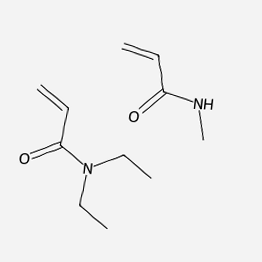 C=CC(=O)N(CC)CC.C=CC(=O)NC